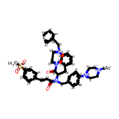 CC(=O)N1CCN(c2ccc(CN(C(=O)C=Cc3ccc(S(C)(=O)=O)cc3)C(Cc3ccccc3)C(=O)N3CCN(Cc4ccccc4)CC3)cc2)CC1